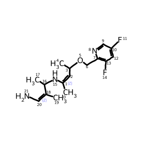 C/C(=C/C(C)OCc1ncc(F)cc1F)NC(C)/C(C)=C\N